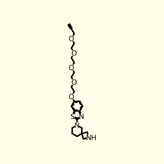 C#CCOCCOCCOCCOCCOc1ccc2nc(N3CCCC4(CNC4)C3)sc2c1